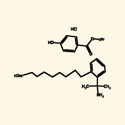 CCCCCCCCCCCCCCCCCCc1ccccc1C(C)(C)N.CCCOC(=O)c1ccc(O)cc1.Cl